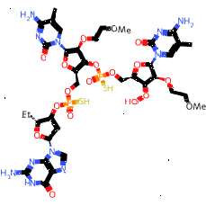 CC[C@H]1O[C@@H](n2cnc3c(=O)[nH]c(N)nc32)CC1OP(=O)(S)OC[C@H]1O[C@@H](n2cc(C)c(N)nc2=O)[C@@H](OCCOC)C1OP(=O)(S)OC[C@H]1O[C@@H](n2cc(C)c(N)nc2=O)[C@@H](OCCOC)C1OO